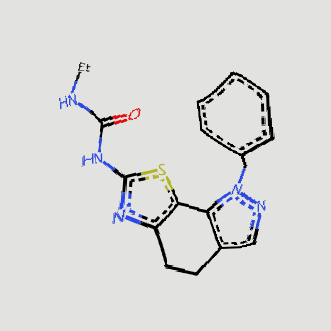 CCNC(=O)Nc1nc2c(s1)-c1c(cnn1-c1ccccc1)CC2